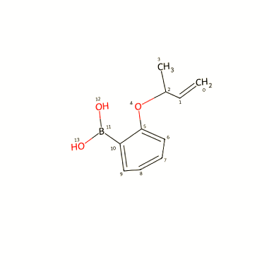 C=CC(C)Oc1ccccc1B(O)O